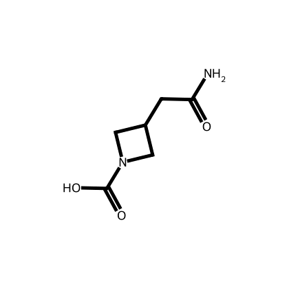 NC(=O)CC1CN(C(=O)O)C1